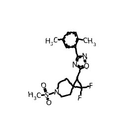 Cc1ccc(C)c(-c2noc(C3C(F)(F)C34CCN(S(C)(=O)=O)CC4)n2)c1